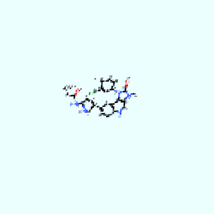 COCC(=O)Nc1ccc(-c2ccc3ncc4c(c3c2)n(-c2ccc(F)c(Cl)c2)c(=O)n4C)cn1